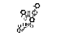 Cc1ccccc1C(=O)Nc1cc(C(=O)NCCCN2CCCC2=O)ccc1N1CCN(c2ccccc2C)CC1